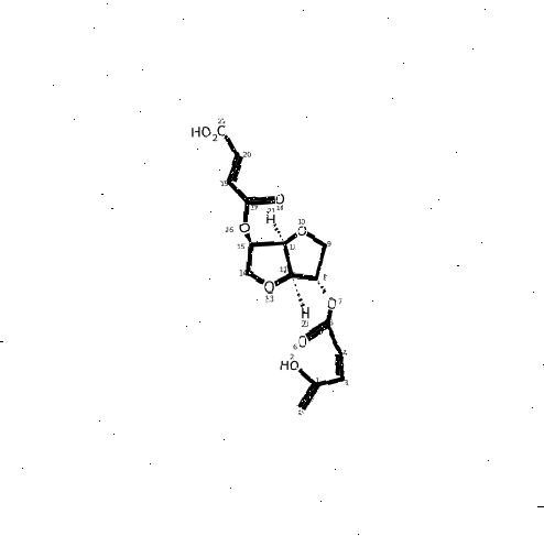 C=C(O)/C=C\C(=O)O[C@H]1CO[C@H]2[C@@H]1OC[C@H]2OC(=O)/C=C/C(=O)O